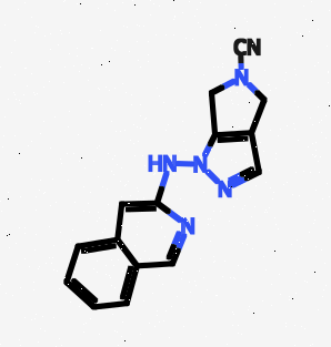 N#CN1Cc2cnn(Nc3cc4ccccc4cn3)c2C1